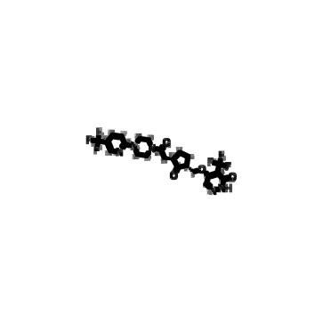 O=C1[C@@H](COc2cn[nH]c(=O)c2C(F)(F)F)CC[C@@H]1CC(=O)N1CCN(c2ccc(C(F)(F)F)cn2)CC1